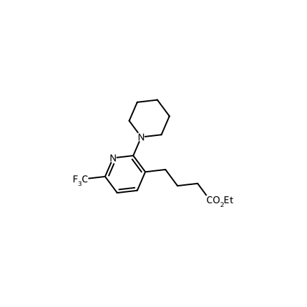 CCOC(=O)CCCc1ccc(C(F)(F)F)nc1N1CCCCC1